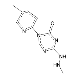 CNNc1ncn(-c2ccc(C)cn2)c(=O)n1